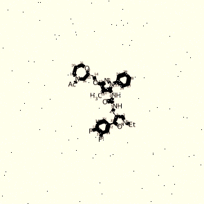 CCN1C[C@@H](CNC(=O)Nc2c(C)c(OC[C@@H]3CN(C(C)=O)CCCO3)nn2-c2ccccc2)[C@H](c2ccc(F)c(F)c2)O1